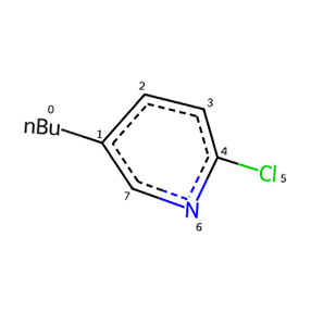 [CH2]CCCc1ccc(Cl)nc1